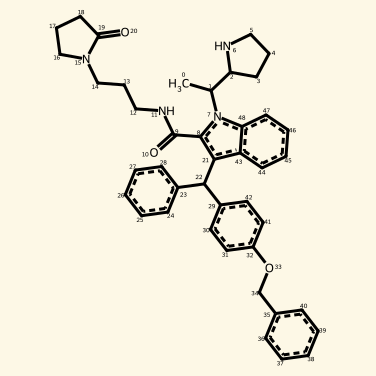 CC(C1CCCN1)n1c(C(=O)NCCCN2CCCC2=O)c(C(c2ccccc2)c2ccc(OCc3ccccc3)cc2)c2ccccc21